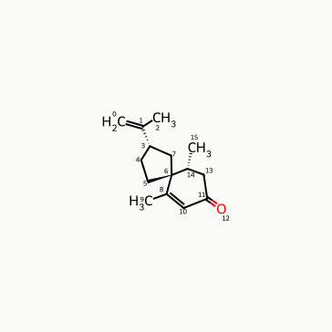 C=C(C)[C@H]1CC[C@]2(C1)C(C)=CC(=O)C[C@H]2C